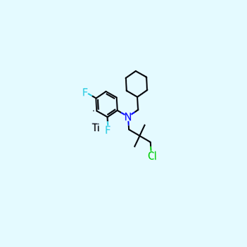 CC(C)(CCl)CN(CC1CCCCC1)c1ccc(F)[c]c1F.[Ti]